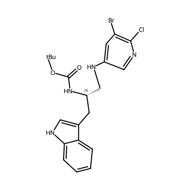 CC(C)(C)OC(=O)N[C@H](CNc1cnc(Cl)c(Br)c1)Cc1c[nH]c2ccccc12